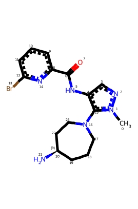 Cn1ncc(NC(=O)c2cccc(Br)n2)c1N1CCC[C@@H](N)CC1